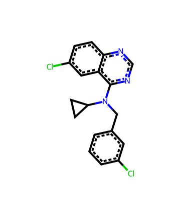 Clc1cccc(CN(c2ncnc3ccc(Cl)cc23)C2CC2)c1